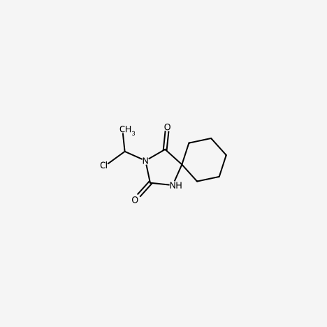 CC(Cl)N1C(=O)NC2(CCCCC2)C1=O